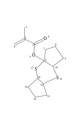 C=C(C)C(=O)OC12CCCC1SC1CCCC1S2